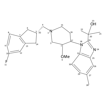 COC1CN(C[C@H]2Cc3ccc(F)cc3C2)CCC1n1c(C(C)(C)O)nc2cc(C)ccc21